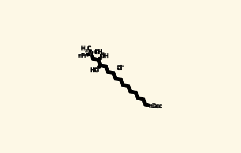 CCCCCCCCCCCCCCCCCCCCCCC(O)C(O)C[N+](C)(C)CCC.[Cl-]